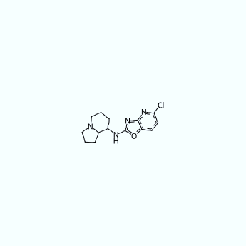 Clc1ccc2oc(NC3CCCN4CCCC34)nc2n1